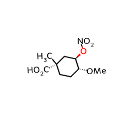 CO[C@@H]1CC[C@](C)(C(=O)O)C[C@H]1O[N+](=O)[O-]